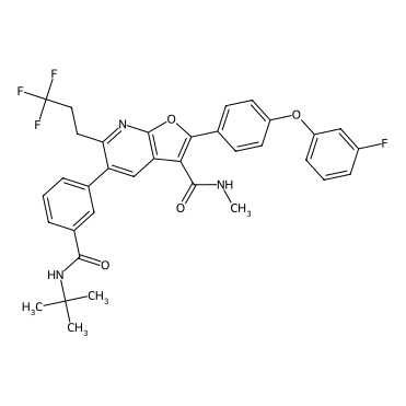 CNC(=O)c1c(-c2ccc(Oc3cccc(F)c3)cc2)oc2nc(CCC(F)(F)F)c(-c3cccc(C(=O)NC(C)(C)C)c3)cc12